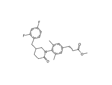 COC(=O)/C=C/c1cc(C)c(N2CC(Cc3ccc(F)cc3F)CCC2=O)c(C)c1